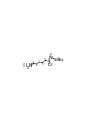 CCCCN(C)C(=O)CCCCCN